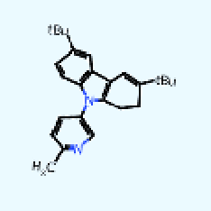 Cc1ccc(-n2c3c(c4cc(C(C)(C)C)ccc42)C=C(C(C)(C)C)CC3)cn1